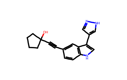 OC1(C#Cc2ccc3[nH]cc(-c4cn[nH]c4)c3c2)CCCC1